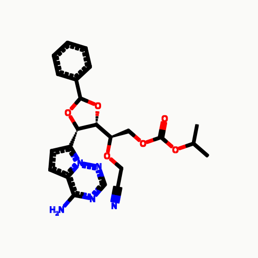 CC(C)OC(=O)OC[C@@H](OCC#N)[C@H]1OC(c2ccccc2)O[C@H]1c1ccc2c(N)ncnn12